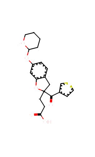 O=C(O)CCC1(C(=O)c2ccsc2)Cc2ccc(OC3CCCCO3)cc2O1